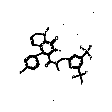 CN(Cc1cc(C(F)(F)F)cc(C(F)(F)F)c1)C(=O)c1c(-c2ccc(F)cc2)c2c(c(=O)n1C)N(C)CC=C2